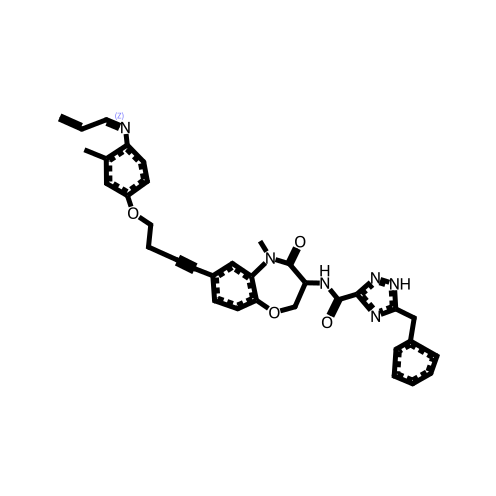 C=C/C=N\c1ccc(OCCC#Cc2ccc3c(c2)N(C)C(=O)C(NC(=O)c2n[nH]c(Cc4ccccc4)n2)CO3)cc1C